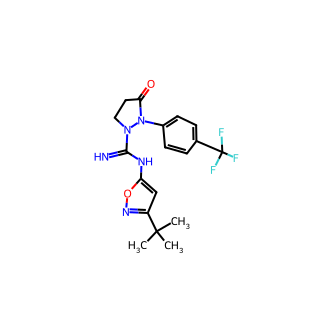 CC(C)(C)c1cc(NC(=N)N2CCC(=O)N2c2ccc(C(F)(F)F)cc2)on1